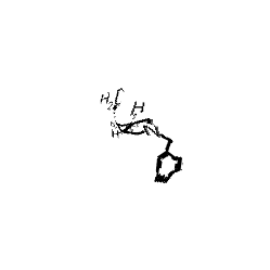 C=C[C@@H]1[C@H]2CN(Cc3ccccc3)C[C@@H]12